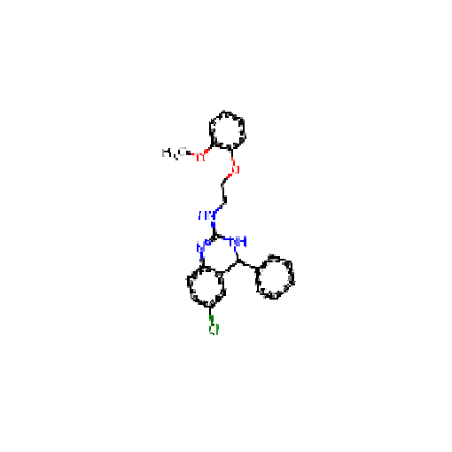 COc1ccccc1OCCNC1=Nc2ccc(Cl)cc2C(c2ccccc2)N1